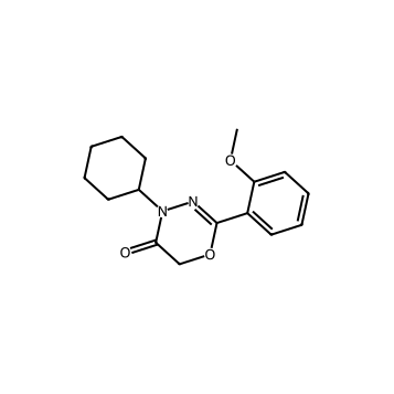 COc1ccccc1C1=NN(C2CCCCC2)C(=O)CO1